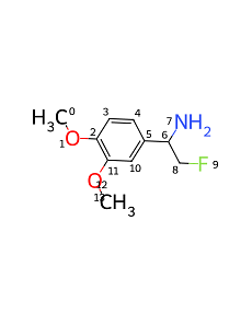 COc1ccc(C(N)CF)cc1OC